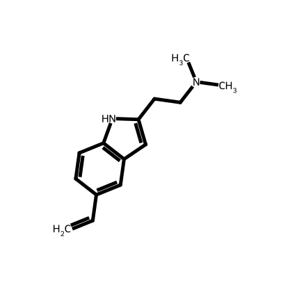 C=Cc1ccc2[nH]c(CCN(C)C)cc2c1